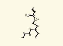 C=CC(=O)OCCC(CC)CCCC